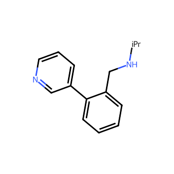 CC(C)NCc1ccccc1-c1cccnc1